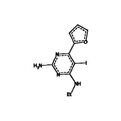 CCNc1nc(N)nc(-c2ccco2)c1I